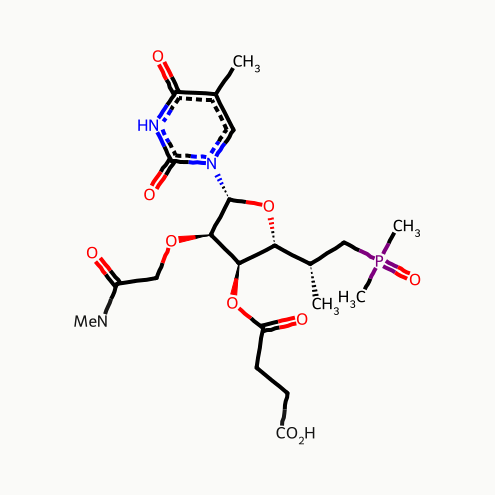 CNC(=O)CO[C@@H]1[C@H](OC(=O)CCC(=O)O)[C@@H]([C@@H](C)CP(C)(C)=O)O[C@H]1n1cc(C)c(=O)[nH]c1=O